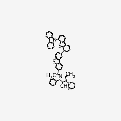 C=C=C(c1ccccc1)C(C)C(/N=C(\C)c1ccc2c(c1)sc1ccc(-c3cccc4c3sc3c(-n5c6ccccc6c6ccccc65)cccc34)cc12)c1ccccc1